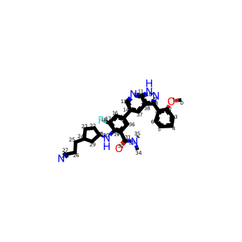 COc1ccccc1-c1n[nH]c2ncc(-c3cc(F)c(N[C@@H]4CCC(CCC#N)C4)c(C(=O)N(C)C)c3)cc12